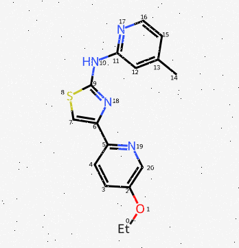 CCOc1ccc(-c2csc(Nc3cc(C)ccn3)n2)nc1